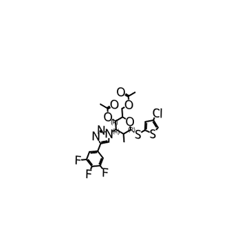 CC(=O)OCC1O[C@H](Sc2cc(Cl)cs2)C(C)[C@@H](n2cc(-c3cc(F)c(F)c(F)c3)nn2)[C@H]1OC(C)=O